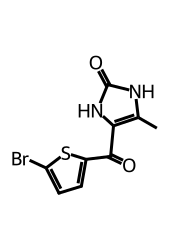 Cc1[nH]c(=O)[nH]c1C(=O)c1ccc(Br)s1